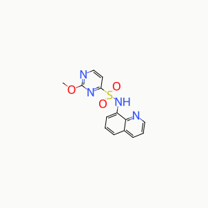 COc1nccc(S(=O)(=O)Nc2cccc3cccnc23)n1